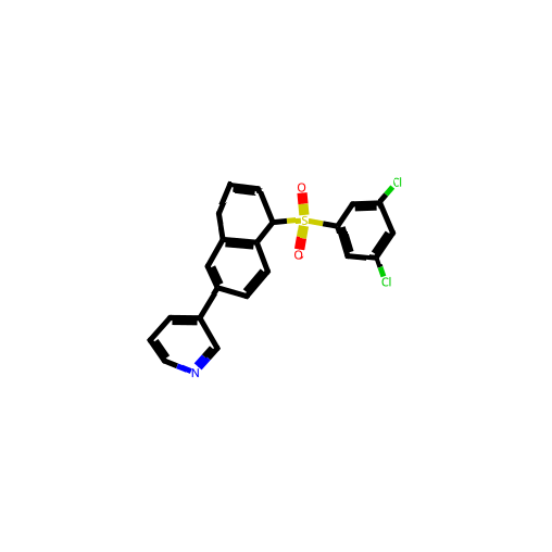 O=S(=O)(c1cc(Cl)cc(Cl)c1)C1[C]=CCc2cc(-c3cccnc3)ccc21